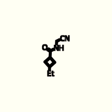 CCC1CC(C(=O)NCC#N)C1